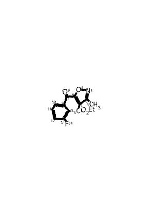 CCOC(=O)c1c(C)noc1C(=O)c1cccc(F)c1